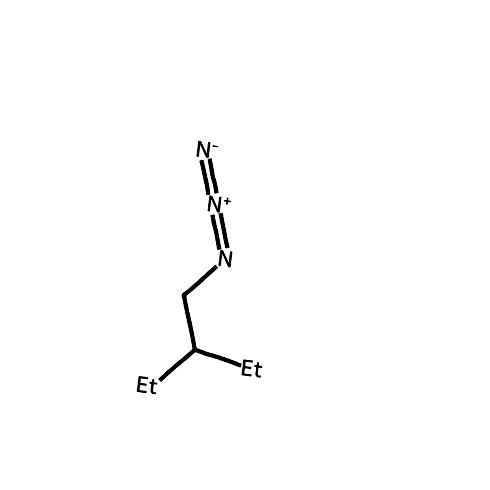 CCC(CC)CN=[N+]=[N-]